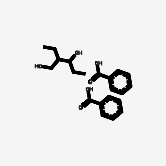 CCC(O)C(CC)CO.O=C(O)c1ccccc1.O=C(O)c1ccccc1